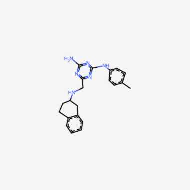 Cc1ccc(Nc2nc(N)nc(CNC3CCc4ccccc4C3)n2)cc1